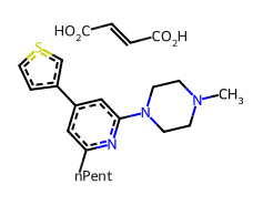 CCCCCc1cc(-c2ccsc2)cc(N2CCN(C)CC2)n1.O=C(O)/C=C/C(=O)O